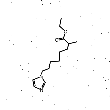 CCOC(=O)C(C)CCCCCCn1ccnc1